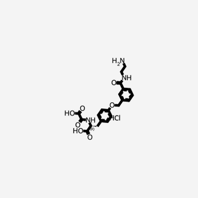 Cl.NCCNC(=O)c1cccc(COc2ccc(C[C@@H](NC(=O)C(=O)O)C(=O)O)cc2)c1